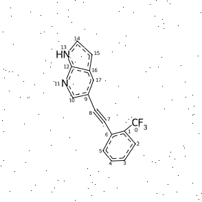 FC(F)(F)c1ccccc1C#Cc1cnc2[nH]ccc2c1